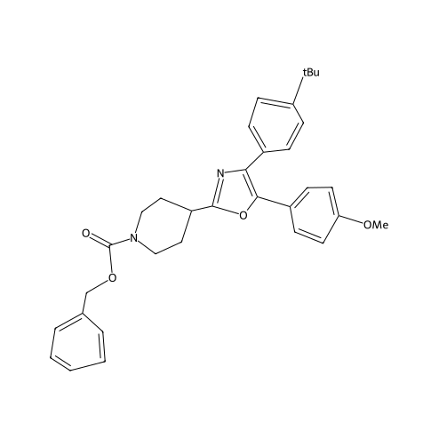 COc1ccc(-c2oc(C3CCN(C(=O)OCc4ccccc4)CC3)nc2-c2ccc(C(C)(C)C)cc2)cc1